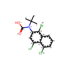 CC(C)(C)N(C(=O)O)c1cc(F)c2c(Cl)cccc2c1Br